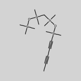 CC#CC#C[Si](C)(C)O[Si](C)(C)C[Si](C)(C)O[Si](C)(C)C